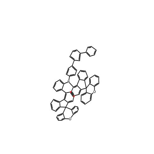 c1ccc(-c2cccc(-c3ccc(N(c4ccccc4-c4cccc5c4-c4ccccc4C54c5ccccc5Oc5ccccc54)c4cccc5c4-c4ccccc4C54c5ccccc5Oc5ccccc54)cc3)c2)cc1